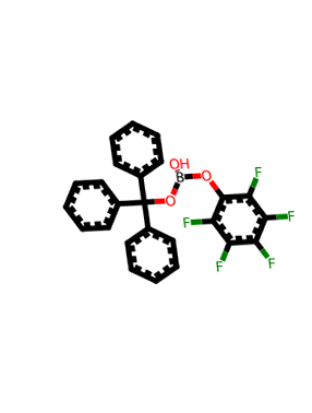 OB(Oc1c(F)c(F)c(F)c(F)c1F)OC(c1ccccc1)(c1ccccc1)c1ccccc1